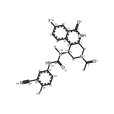 CC(=O)N1Cc2[nH]c(=O)c3cc(F)ccc3c2[C@H](N(C)C(=O)Nc2ccc(F)c(C#N)c2)C1